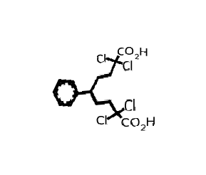 O=C(O)C(Cl)(Cl)CCC(CCC(Cl)(Cl)C(=O)O)c1ccccc1